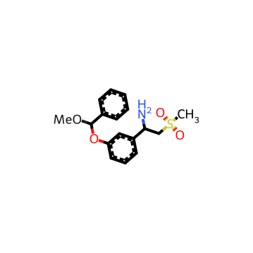 COC(Oc1cccc(C(N)CS(C)(=O)=O)c1)c1ccccc1